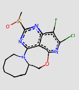 C[S+]([O-])c1nc2c3c(nc(Cl)c(F)c3n1)OCC1CCCCCN21